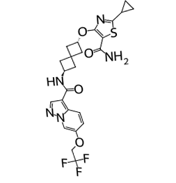 NC(=O)c1sc(C2CC2)nc1O[C@H]1CC2(C[C@H](NC(=O)c3cnn4cc(OCC(F)(F)F)ccc34)C2)C1